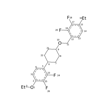 CCOc1ccc(C2CCC(OCc3ccc(CC)c(F)c3F)CC2)c(F)c1F